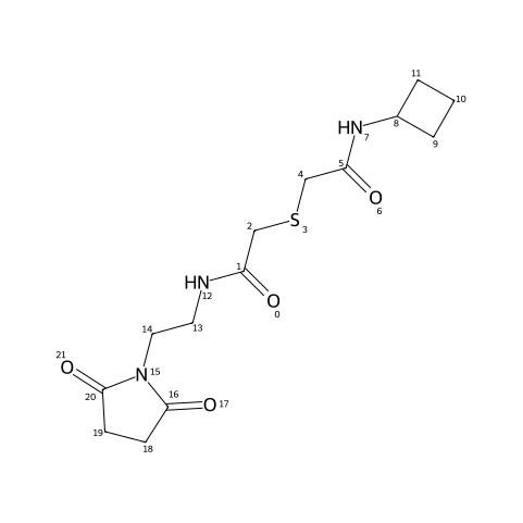 O=C(CSCC(=O)NC1CCC1)NCCN1C(=O)CCC1=O